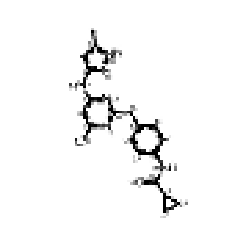 Cc1cc(Nc2cc(Cl)nc(Cc3ccc(NC(=O)C4CC4)cc3)n2)n[nH]1